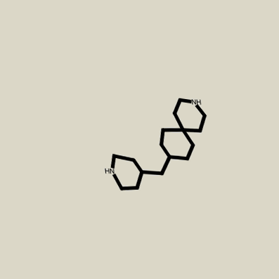 C1CC(CC2CCC3(CCNCC3)CC2)CCN1